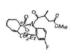 CCOC(=O)C1=CCCC[C@H]1S(=O)(=O)N(C(=O)C(C)CC(=O)OC)c1ccc(F)cc1Cl